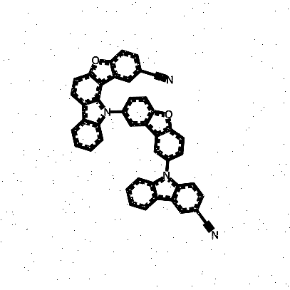 N#Cc1ccc2oc3ccc4c5ccccc5n(-c5ccc6oc7ccc(-n8c9ccccc9c9cc(C#N)ccc98)cc7c6c5)c4c3c2c1